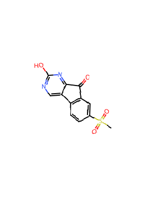 CS(=O)(=O)c1ccc2c(c1)C(=O)c1nc(O)ncc1-2